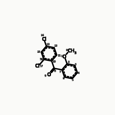 COc1ccccc1C(=O)c1ccc(Cl)cc1Cl